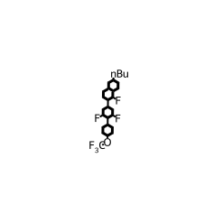 CCCCc1ccc2c(F)c(-c3cc(F)c(-c4ccc(OC(F)(F)F)cc4)c(F)c3)ccc2c1